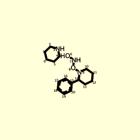 C1CCNCC1.ONON1CCCCC1c1ccccc1